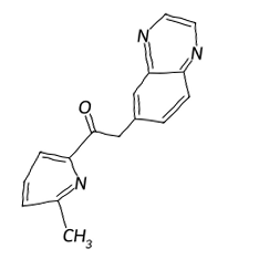 Cc1cccc(C(=O)Cc2ccc3nccnc3c2)n1